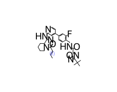 C/C=C/C(=O)N1CCCCC1c1nc2c(-c3ccc(CNC(=O)c4nc(C(C)(C)C)no4)c(F)c3)ccnc2[nH]1